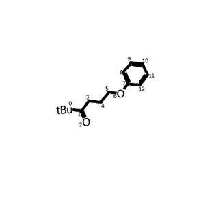 CC(C)(C)C(=O)CCCOc1ccccc1